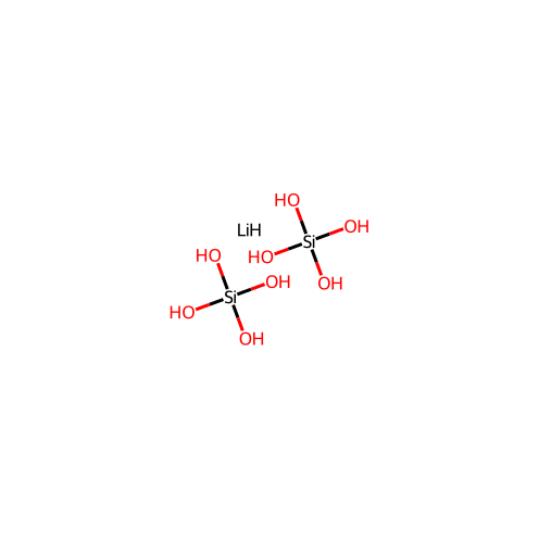 O[Si](O)(O)O.O[Si](O)(O)O.[LiH]